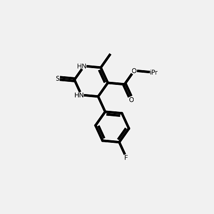 CC1=C(C(=O)OC(C)C)C(c2ccc(F)cc2)NC(=S)N1